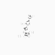 C[C@]12CC[C@](C)(C[C@@H](Oc3ccc(-c4ccc(-c5cn[nH]c5)cc4O)cn3)C1)N2